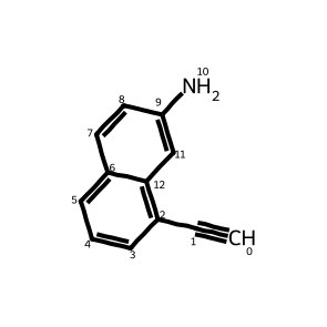 C#Cc1cccc2ccc(N)cc12